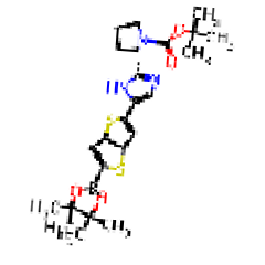 CC(C)(C)OC(=O)N1CCC[C@H]1c1ncc(C2=CC3SC(B4OC(C)(C)C(C)(C)O4)=CC3S2)[nH]1